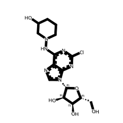 OC[C@H]1O[C@@H](n2cnc3c(NN4CCCC(O)C4)nc(Cl)nc32)[C@H](O)[C@@H]1O